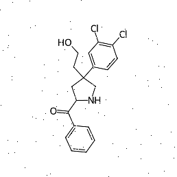 O=C(c1ccccc1)C1CC(CCO)(c2ccc(Cl)c(Cl)c2)CN1